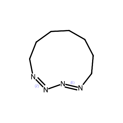 C1CCC/N=N\N=N\CCC1